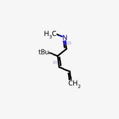 C=C/C=C(\C=N/C)C(C)(C)C